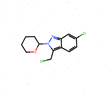 ClCc1c2ccc(Cl)cc2nn1C1CCCCO1